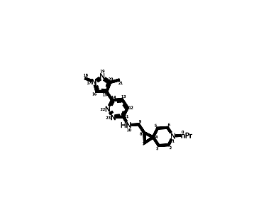 CCCN1CCC2(CC1)CC2CNc1ccc(-c2cn(C)nc2C)nn1